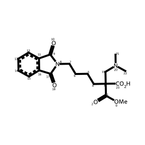 COC(=O)C(CCCCN1C(=O)c2ccccc2C1=O)(CN(C)C)C(=O)O